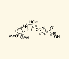 COc1ccc(CN2CCC(COc3ccc(C(=O)/C=N/O)cn3)CC2)cc1OC.Cl